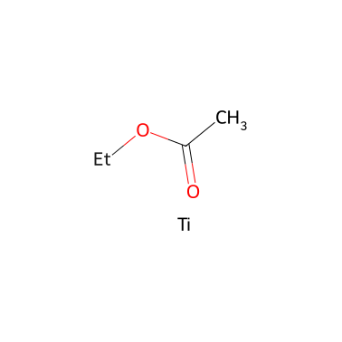 CCOC(C)=O.[Ti]